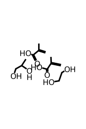 C=C(C)C(=O)O.C=C(C)C(=O)O.CC(O)CO.OCCO